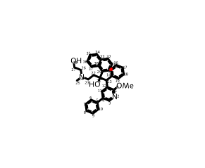 COc1ncc(-c2ccccc2)cc1C(c1ccccc1)C(O)(CCN(C)CCO)c1cccc2ccccc12